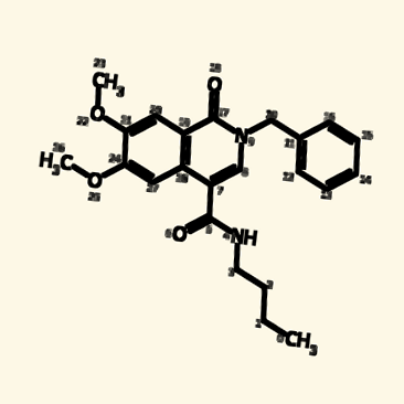 CCCCNC(=O)c1cn(Cc2ccccc2)c(=O)c2cc(OC)c(OC)cc12